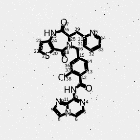 O=C(Nc1nccn2ccnc12)c1ccc(CN2C(=O)c3sccc3NC(=O)C2Cc2ccccn2)cc1Cl